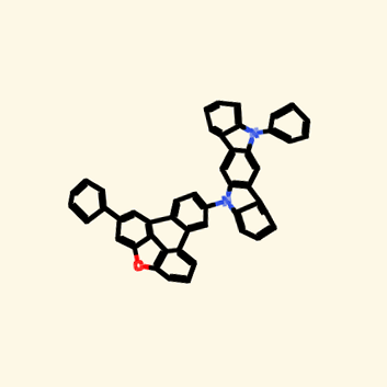 c1ccc(-c2cc3oc4cccc5c6cc(-n7c8ccccc8c8cc9c(cc87)c7ccccc7n9-c7ccccc7)ccc6c(c2)c3c45)cc1